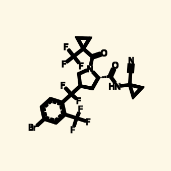 N#CC1(NC(=O)[C@@H]2CC(C(F)(F)c3ccc(Br)cc3C(F)(F)F)CN2C(=O)C2(C(F)(F)F)CC2)CC1